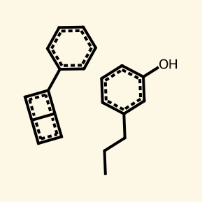 CCCc1cccc(O)c1.c1ccc(-c2cc3ccc2-3)cc1